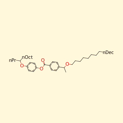 CCCCCCCCCCCCCCCCCCOC(C)c1ccc(C(=O)Oc2ccc(OC(CCC)CCCCCCCC)cc2)cc1